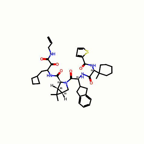 C=CCNC(=O)C(=O)C(CC1CCC1)NC(=O)[C@@H]1[C@@H]2[C@H](CN1C(=O)[C@@H](NC(=O)[C@@H](NC(=O)c1cccs1)C1(C)CCCCC1)C1Cc3ccccc3C1)C2(C)C